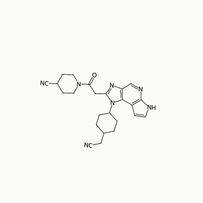 N#CCC1CCC(n2c(CC(=O)N3CCC(C#N)CC3)nc3cnc4[nH]ccc4c32)CC1